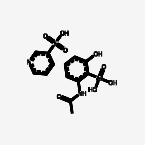 CC(=O)Nc1cccc(O)c1[As](=O)(O)O.O=S(=O)(O)c1cccnc1